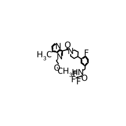 COCCn1cc(C(=O)N2CCC(c3cc(CNC(=O)C(F)(F)F)ccc3F)CC2)c2nccc(C)c21